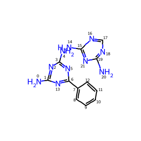 Nc1nc(N)nc(-c2ccccc2)n1.Nc1ncnc(N)n1